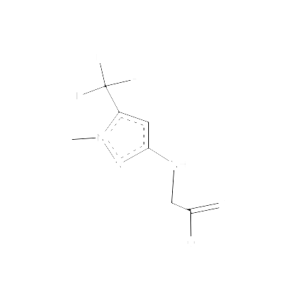 Cn1nc(NCC(=O)O)cc1C(F)(F)F